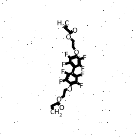 C=CC(=O)OCCOc1c(F)c(F)c(-c2c(F)c(F)c(OCCOC(=O)C=C)c(F)c2F)c(F)c1F